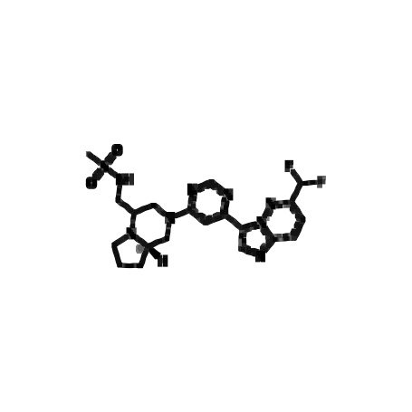 CS(=O)(=O)NCC1CN(c2cc(-c3cnc4ccc(C(F)F)nn34)ncn2)C[C@@H]2CCCN12